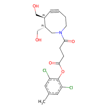 Cc1cc(Cl)c(OC(=O)CCC(=O)N2CCC#C[C@H](CO)[C@@H](CO)C2)c(Cl)c1